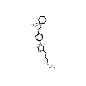 CCCCCc1cn(-c2ccc(CC[N+]3(C)CCCCC3)cc2)nn1